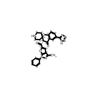 Cc1nn(-c2ccccc2)c2oc(C(=O)[C@H]3C(=O)c4cc(-c5nnn[nH]5)ccc4OC34CCNCC4)cc12